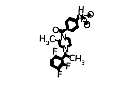 CC(c1c(F)ccc(F)c1F)N1CCN(C(=O)c2ccc(N[SH](=O)=O)cc2)[C@H](C)C1